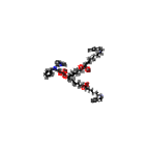 CCCCCCCC/C=C\CCCCCCCC(=O)OCCCCCCC(CCCCCCOC(=O)CCCCCCC/C=C\CCCCCCCC)OC(=O)OCCN(CCN(CC)CC)Cc1ccccc1